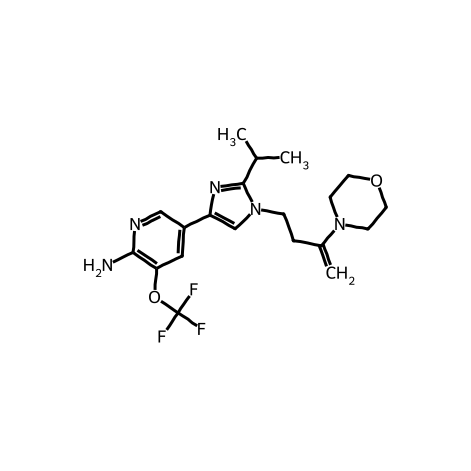 C=C(CCn1cc(-c2cnc(N)c(OC(F)(F)F)c2)nc1C(C)C)N1CCOCC1